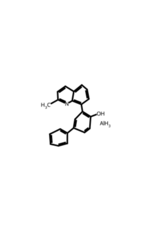 Cc1ccc2cccc(-c3cc(-c4ccccc4)ccc3O)c2n1.[AlH3]